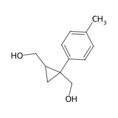 Cc1ccc(C2(CO)CC2CO)cc1